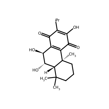 CC(C)C1=C(O)C(=O)C2=C(C1=O)[C@H](O)[C@@H](O)[C@H]1C(C)(C)CCC[C@]21C